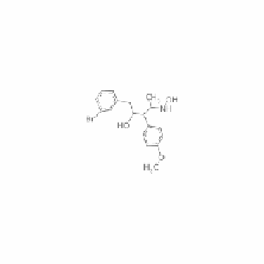 COc1ccc(C(C(O)Cc2cccc(Br)c2)C(C)NO)cc1